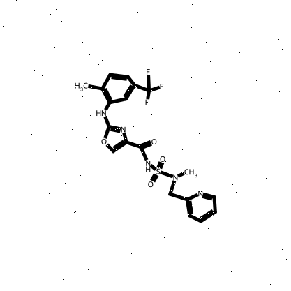 Cc1ccc(C(F)(F)F)cc1Nc1nc(C(=O)NS(=O)(=O)N(C)Cc2ccccn2)co1